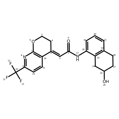 O=C(/C=C1\CCOc2nc(C(F)(F)F)ccc21)Nc1cccc2c1CC(O)CC2